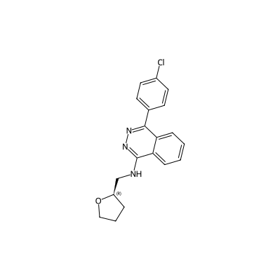 Clc1ccc(-c2nnc(NC[C@H]3CCCO3)c3ccccc23)cc1